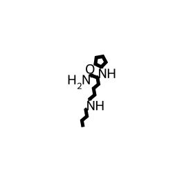 CCCCNCCCCC(NC1CCCC1)C(N)=O